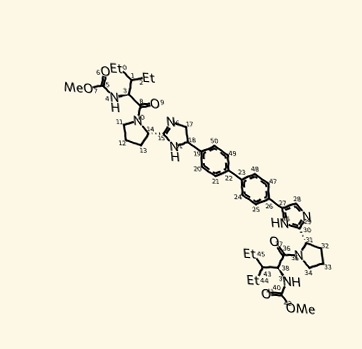 CCC(CC)[C@H](NC(=O)OC)C(=O)N1CCC[C@H]1C1=NCC(c2ccc(-c3ccc(-c4cnc([C@@H]5CCCN5C(=O)[C@@H](NC(=O)OC)C(CC)CC)[nH]4)cc3)cc2)N1